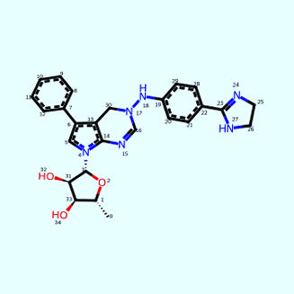 C[C@H]1O[C@@H](n2cc(-c3ccccc3)c3c2N=CN(Nc2ccc(C4=NCCN4)cc2)C3)[C@H](O)[C@@H]1O